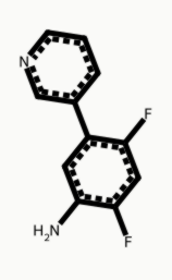 Nc1cc(-c2cccnc2)c(F)cc1F